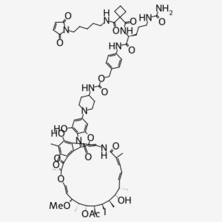 CO[C@H]1/C=C/O[C@@]2(C)Oc3c(C)c(O)c4c(=O)c(c5oc6cc(N7CCC(NC(=O)OCc8ccc(NC(=O)[C@H](CCCNC(N)=O)NC(=O)C9(C(=O)NCCCCCN%10C(=O)C=CC%10=O)CCC9)cc8)CC7)cc(O)c6nc-5c4c3C2=O)NC(=O)/C(C)=C\C=C\[C@H](C)[C@H](O)[C@@H](C)[C@@H](I)[C@@H](C)[C@H](OC(C)=O)[C@@H]1C